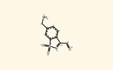 NCc1ccc2c(c1)S(=O)(=O)N=C2C=O